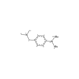 CN(C)Cc1ccc(N(C(C)(C)C)C(C)(C)C)cc1